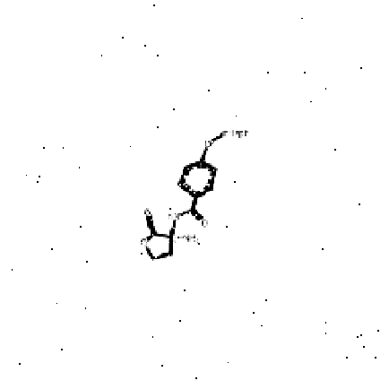 CCCCCCCOc1ccc(C(=O)N[C@@]2(N)CCOC2=O)cc1